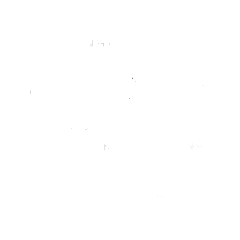 CCCCCCCCCCCC[CH2][Ni][CH2]CCCCCCCCCCCC.CCCCCCCCc1cc(CCCCC)cc(C2=C(CC)C(CCCCC)=C(c3cc(CCCCC)cc(CCCCCCCC)c3)[N+]2=[N-])c1